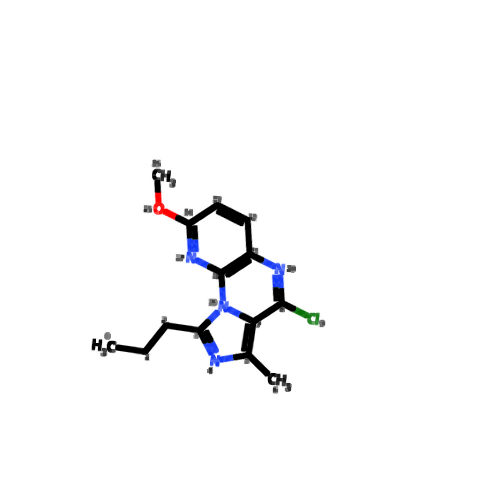 CCCc1nc(C)c2c(Cl)nc3ccc(OC)nc3n12